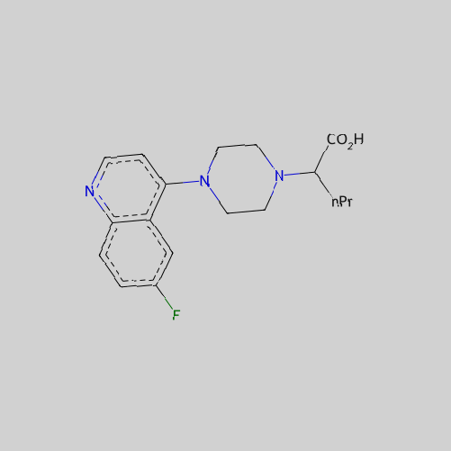 CCCC(C(=O)O)N1CCN(c2ccnc3ccc(F)cc23)CC1